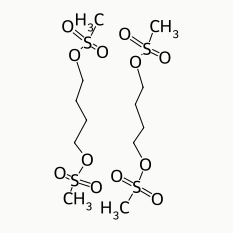 CS(=O)(=O)OCCCCOS(C)(=O)=O.CS(=O)(=O)OCCCCOS(C)(=O)=O